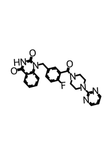 O=C(c1cc(Cn2c(=O)[nH]c(=O)c3ccccc32)ccc1F)N1CCN(c2ncccn2)CC1